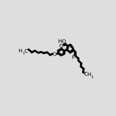 CCCCCCCCCCOc1ccc(-c2cc(C=C(F)CCCCCCC)ccc2C(=O)O)cc1